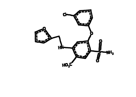 NS(=O)(=O)c1cc(C(=O)O)c(NCc2ccco2)cc1Oc1cccc(Cl)c1